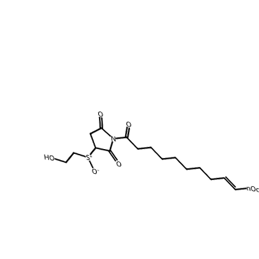 CCCCCCCCC=CCCCCCCCC(=O)N1C(=O)CC([S+]([O-])CCO)C1=O